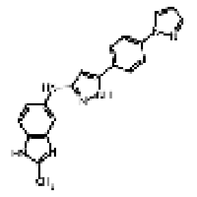 Cc1nc2cc(Nc3cc(-c4ccc(-n5cccn5)cc4)[nH]n3)ccc2[nH]1